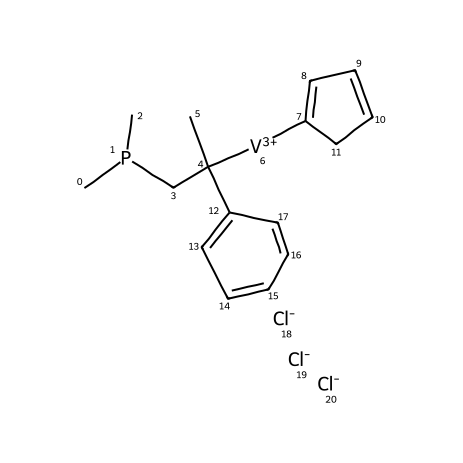 CP(C)C[C](C)([V+3][C]1=CC=CC1)c1ccccc1.[Cl-].[Cl-].[Cl-]